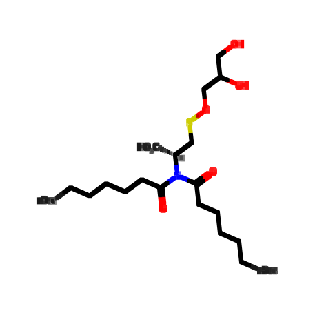 CCCCCCCCCCCCCCCC(=O)N(C(=O)CCCCCCCCCCCCCCC)[C@@H](CSOCC(O)CO)C(=O)O